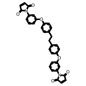 O=C1C=CC(=O)N1c1cccc(Oc2ccc(CCc3ccc(Oc4cccc(N5C(=O)C=CC5=O)c4)cc3)cc2)c1